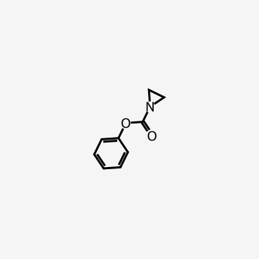 O=C(Oc1ccccc1)N1CC1